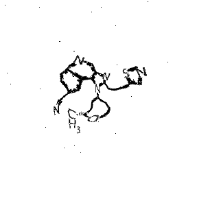 C[C@@H]1CC(n2c(Cc3cncs3)nc3cnc4ccc(C#N)cc4c32)CCO1